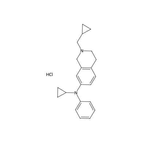 Cl.c1ccc(N(c2ccc3c(c2)CN(CC2CC2)CC3)C2CC2)cc1